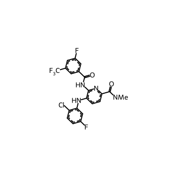 CNC(=O)c1ccc(Nc2cc(F)ccc2Cl)c(NC(=O)c2cc(F)cc(C(F)(F)F)c2)n1